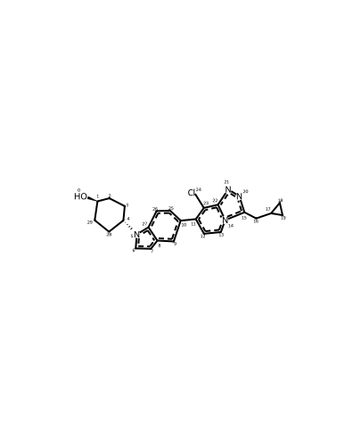 O[C@H]1CC[C@H](n2ccc3cc(-c4ccn5c(CC6CC6)nnc5c4Cl)ccc32)CC1